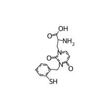 NC(Cn1ccc(=O)n(Cc2ccccc2S)c1=O)C(=O)O